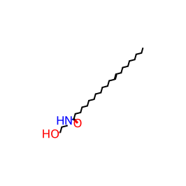 CCCCCCCCC=CCCCCCCCCCCCC(=O)NCCCO